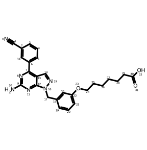 N#Cc1cccc(-c2nc(N)nc3c2cnn3Cc2cccc(OCCCCCCC(=O)O)c2)c1